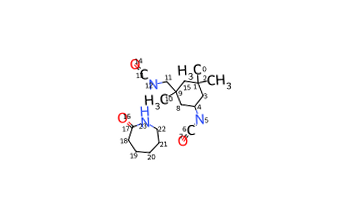 CC1(C)CC(N=C=O)CC(C)(CN=C=O)C1.O=C1CCCCCN1